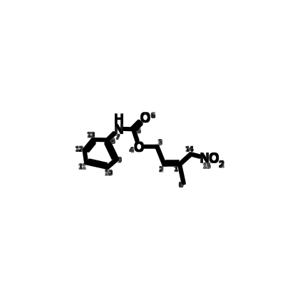 CC(=CCOC(=O)Nc1ccccc1)C[N+](=O)[O-]